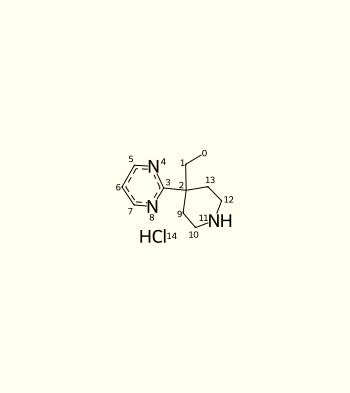 CCC1(c2ncccn2)CCNCC1.Cl